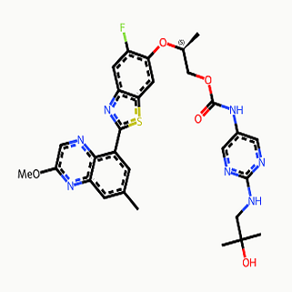 COc1cnc2c(-c3nc4cc(F)c(O[C@@H](C)COC(=O)Nc5cnc(NCC(C)(C)O)nc5)cc4s3)cc(C)cc2n1